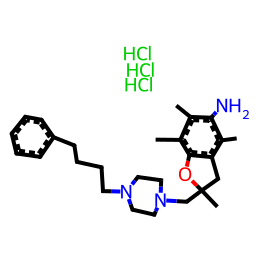 Cc1c(C)c2c(c(C)c1N)CC(C)(CN1CCN(CCCCc3ccccc3)CC1)O2.Cl.Cl.Cl